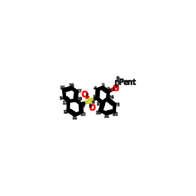 CCCCCOc1ccc(S(=O)(=O)c2cccc3ccccc23)c2ccccc12